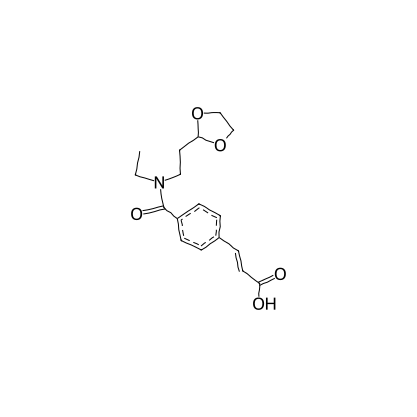 CCN(CCC1OCCO1)C(=O)c1ccc(C=CC(=O)O)cc1